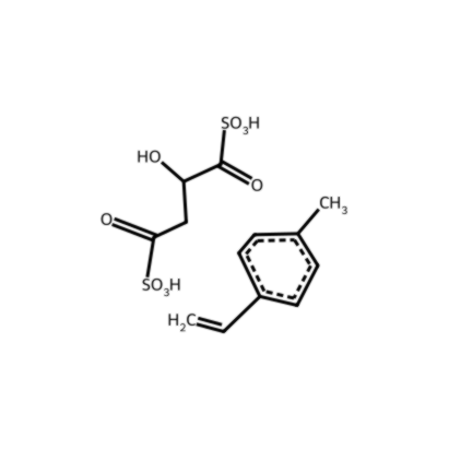 C=Cc1ccc(C)cc1.O=C(CC(O)C(=O)S(=O)(=O)O)S(=O)(=O)O